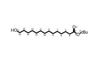 CC(C)(C)OC(=O)CCCCCCCCCCCCCO